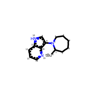 CC(C)(C)C1[CH]CCCCN1c1c[nH]c2cccnc12